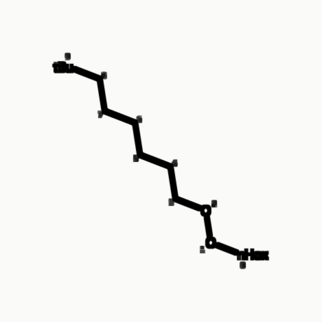 CCCCCCOOCCCCCCC(C)(C)C